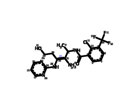 CC(NC(=O)c1cccc(C(F)(F)F)c1Cl)/C(N)=C(\CCO)Nc1ncccn1